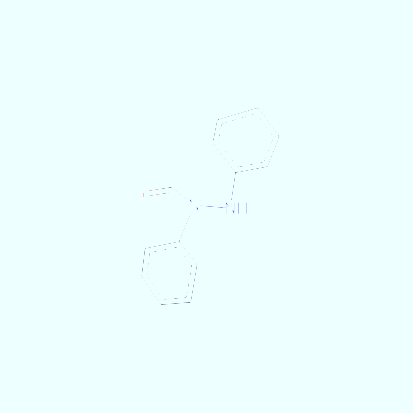 O=[C]N(Nc1ccccc1)c1ccccc1